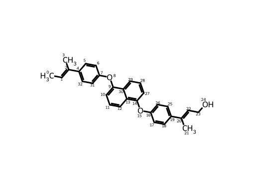 CC=C(C)c1ccc(Oc2cccc3c(Oc4ccc(C(C)=CCO)cc4)cccc23)cc1